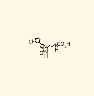 O=C(O)NCCC[C@H]1CNC(=O)c2cc(-c3cccc(Cl)c3)cn21